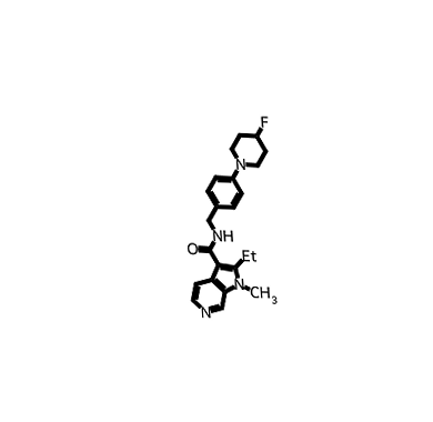 CCc1c(C(=O)NCc2ccc(N3CCC(F)CC3)cc2)c2ccncc2n1C